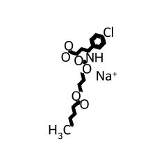 CCCCCC(=O)OCCCCOC(=O)NC(CCC(=O)[O-])c1ccc(Cl)cc1.[Na+]